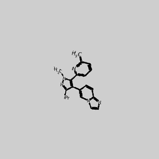 Cc1cccc(-c2c(-c3ccc4nccn4c3)c(C(C)C)nn2C)n1